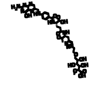 COC(C(=O)O)C(O)[C@H](O)[C@H](O)COCCn1cc(C[C@H](NC(=O)CC[C@H](NC(=O)c2ccc(NCc3cnc4nc(N)nc(O)c4n3)cc2)C(=O)O)C(C)=O)nn1